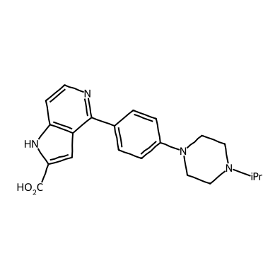 CC(C)N1CCN(c2ccc(-c3nccc4[nH]c(C(=O)O)cc34)cc2)CC1